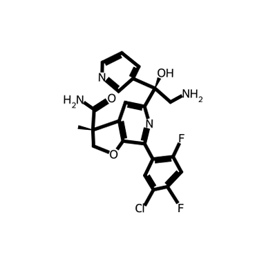 C[C@]1(C(N)=O)COc2c1cc([C@@](O)(CN)c1cccnc1)nc2-c1cc(Cl)c(F)cc1F